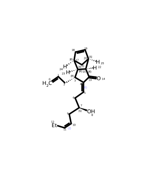 C=CC[C@H]1/C(=C\C[C@@H](O)C/C=C\CC)C(=O)[C@H]2[C@@H]1[C@H]1C=C[C@@H]2C1